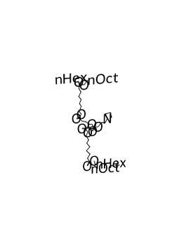 CCCCCCCCC(CCCCCC)OC(=O)CCCCCCCOC(=O)CCC(OC(=O)OCCN1CCC1)C(=O)OCCCCCCCC(=O)OC(CCCCCC)CCCCCCCC